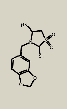 O=S1(=O)[C]C(S)N(Cc2ccc3c(c2)OCO3)C1S